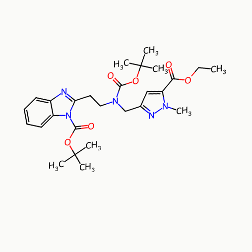 CCOC(=O)c1cc(CN(CCc2nc3ccccc3n2C(=O)OC(C)(C)C)C(=O)OC(C)(C)C)nn1C